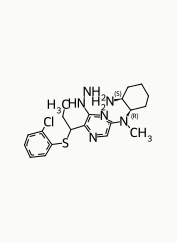 CCC(Sc1ccccc1Cl)c1ncc(N(C)[C@@H]2CCCC[C@@H]2N)nc1NN